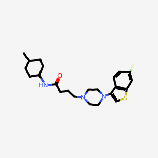 CC1CCC(NC(=O)CCCN2CCN(c3csc4cc(F)ccc34)CC2)CC1